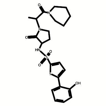 CC(C(=O)N1CCCCC1)N1CCC(NS(=O)(=O)c2ccc(-c3ccccc3O)s2)C1=O